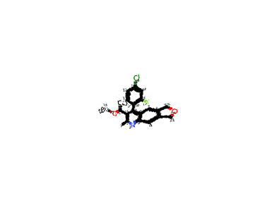 Cc1nc2cc3c(cc2c(-c2ccc(Cl)cc2F)c1C(OC(C)(C)C)C(=O)O)COC3